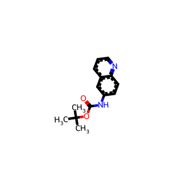 CC(C)(C)OC(=O)Nc1ccc2ncccc2c1